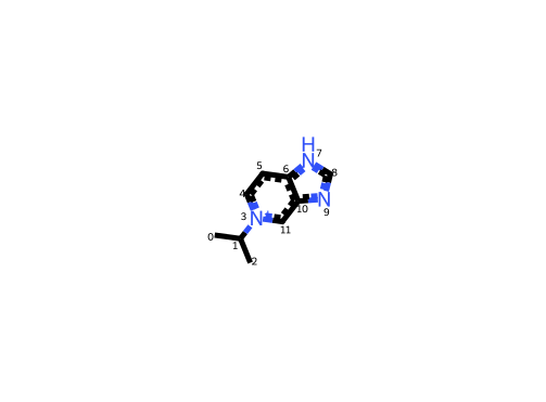 CC(C)[n+]1ccc2[nH]cnc2c1